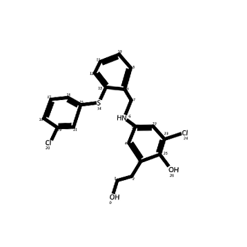 OCCc1cc(NCc2ccccc2Sc2cccc(Cl)c2)cc(Cl)c1O